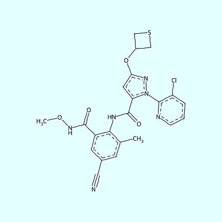 CONC(=O)c1cc(C#N)cc(C)c1NC(=O)c1cc(OC2CSC2)nn1-c1ncccc1Cl